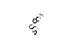 Cc1cc(N2CCCc3c2cnc2cc(Cl)nn32)ccc1[C@H](N(C)[S@+]([O-])C(C)(C)C)C(F)(F)F